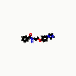 O=C(NCCCOc1ccc(-n2ccnc2)cc1)c1ccccc1